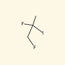 CC(F)(I)CF